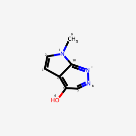 Cn1ccc2c(O)cnnc21